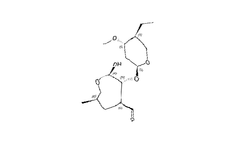 CC[C@H]1CO[C@@H](O[C@H]2[C@H](O)O[C@H](C)C[C@@H]2C=O)C[C@@H]1OC